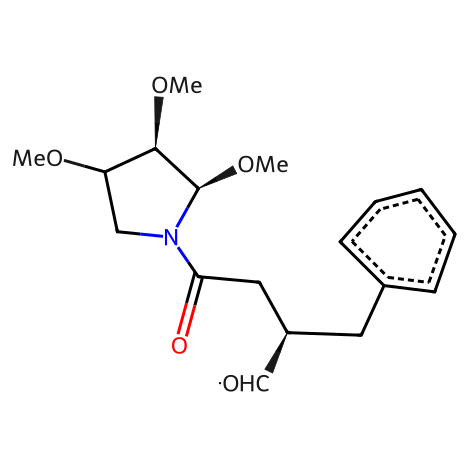 COC1CN(C(=O)C[C@H]([C]=O)Cc2ccccc2)[C@H](OC)[C@@H]1OC